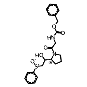 O=C(NCC(=O)N1CCC[C@H]1C(O)C[S+]([O-])c1ccccc1)OCc1ccccc1